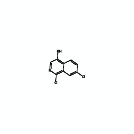 Oc1cnc(Cl)c2cc(Cl)ccc12